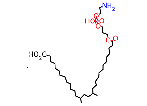 CC(CCCCCCCCCCCCC(=O)O)CCC(C)CCCCCCCCCCCCC(=O)OCCCOP(=O)(O)OCCN